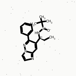 CC[C@H](N[S+]([O-])C(C)(C)C)c1cc2nccn2nc1-c1ccccc1